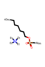 CCCCCCCCCCCCCCCCOS(=O)(=O)CCCCCCCCC.CC[N+](CC)(CC)CC